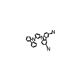 N#CC1=CC2c3cc(C#N)ccc3N(c3cccc(-n4c5ccccc5c5ccccc54)c3)C2C=C1